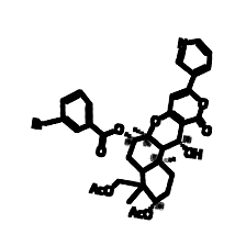 CC(=O)OCC1(C)C2C[C@H](OC(=O)c3cccc(Br)c3)[C@@]3(C)Oc4cc(-c5cccnc5)oc(=O)c4[C@H](O)C3[C@@]2(C)CC[C@@H]1OC(C)=O